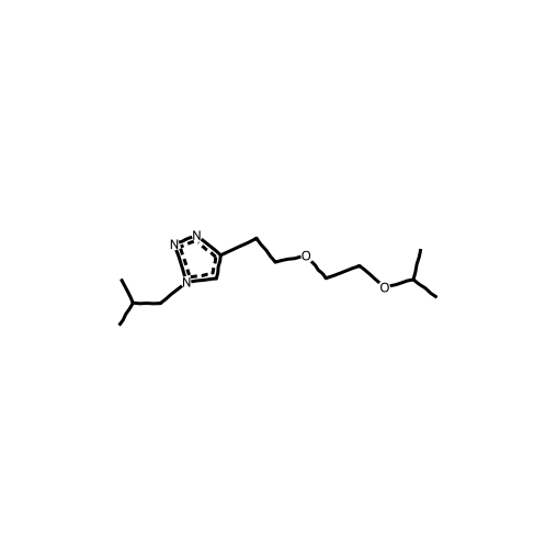 CC(C)Cn1cc(CCOCCOC(C)C)nn1